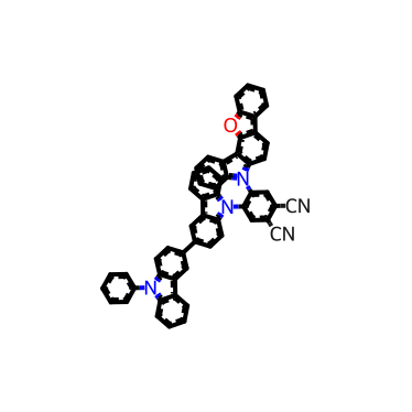 N#Cc1cc(-n2c3ccccc3c3cc(-c4ccc5c(c4)c4ccccc4n5-c4ccccc4)ccc32)c(-n2c3ccccc3c3c4oc5ccccc5c4ccc32)cc1C#N